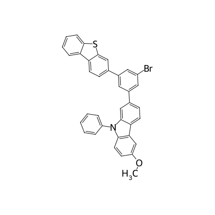 COc1ccc2c(c1)c1ccc(-c3cc(Br)cc(-c4ccc5c(c4)sc4ccccc45)c3)cc1n2-c1ccccc1